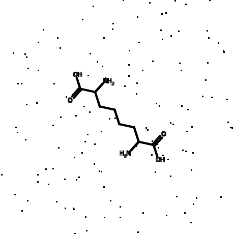 NC(CCCCC(N)C(=O)O)C(=O)O